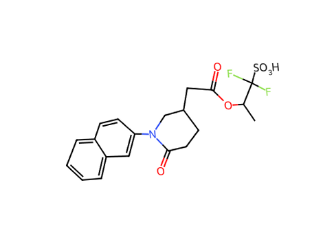 CC(OC(=O)CC1CCC(=O)N(c2ccc3ccccc3c2)C1)C(F)(F)S(=O)(=O)O